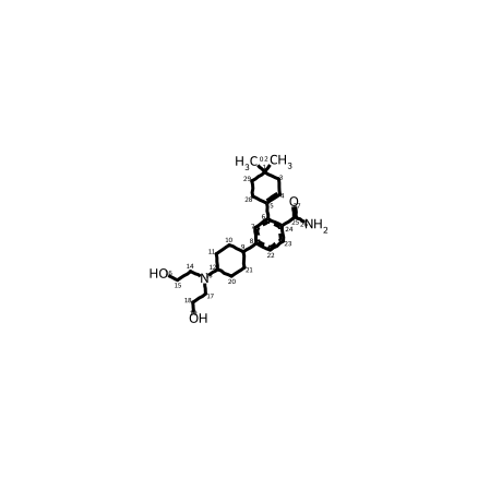 CC1(C)CC=C(c2cc(C3CCC(N(CCO)CCO)CC3)ccc2C(N)=O)CC1